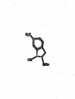 CNC1Cc2ccc(C)cc2C1O